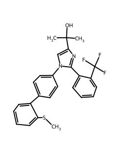 CSc1ccccc1-c1ccc(-n2cc(C(C)(C)O)nc2-c2ccccc2C(F)(F)F)cc1